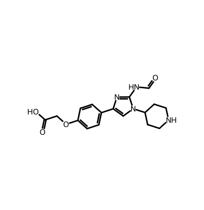 O=CNc1nc(-c2ccc(OCC(=O)O)cc2)cn1C1CCNCC1